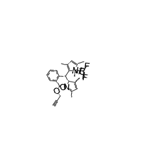 C#CCOC(=O)c1ccccc1C(C1=C(C)C=C(C)[N@+]1(C)B(F)F)C1N=C(C)C=C1C